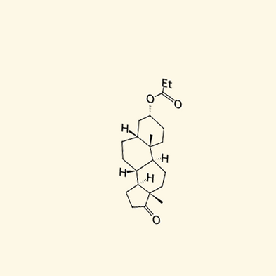 CCC(=O)O[C@@H]1CC[C@@]2(C)[C@H](CC[C@@H]3[C@@H]2CC[C@]2(C)C(=O)CC[C@@H]32)C1